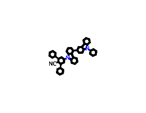 N#Cc1c(-c2ccccc2)cc(-n2c3ccccc3c3c(-c4ccc5c(c4)c4ccccc4n5-c4ccccc4)cccc32)cc1-c1ccccc1